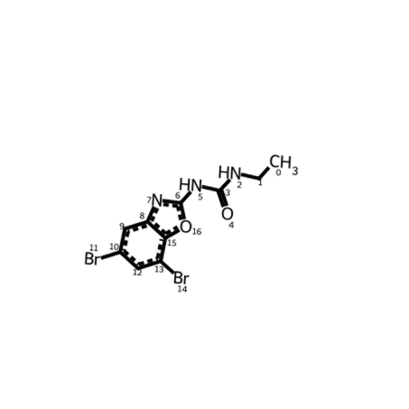 CCNC(=O)Nc1nc2cc(Br)cc(Br)c2o1